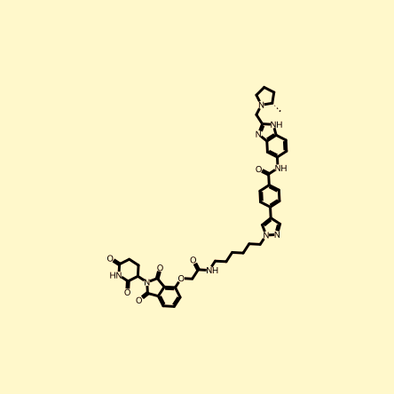 C[C@H]1CCCN1Cc1nc2cc(NC(=O)c3ccc(-c4cnn(CCCCCCNC(=O)COc5cccc6c5C(=O)N(C5CCC(=O)NC5=O)C6=O)c4)cc3)ccc2[nH]1